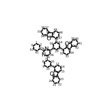 c1ccc(-c2nc(-c3cccc(-c4cccc5c4oc4ccccc45)c3)cc(-c3cc(-c4cccc5c4oc4ccccc45)cc(-c4cccc5c4oc4ccccc45)c3)n2)cc1